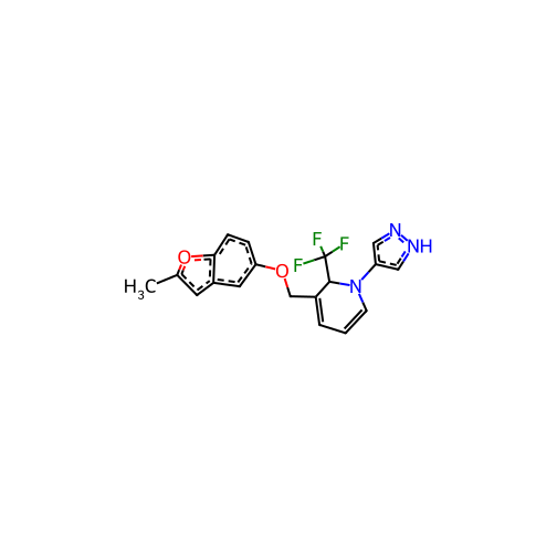 Cc1cc2cc(OCC3=CC=CN(c4cn[nH]c4)C3C(F)(F)F)ccc2o1